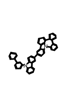 c1ccc(-c2cccc(-n3c4ccccc4c4cc(-c5ccc6c(c5)c5cccc7c5n6-c5ccccc5-c5ccccc5-7)ccc43)c2)cc1